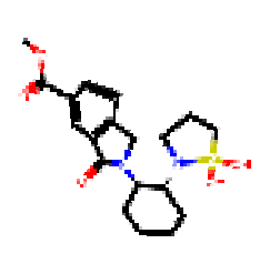 COC(=O)c1ccc2c(c1)C(=O)N([C@@H]1CCCC[C@H]1N1CCCS1(O)O)C2